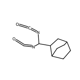 O=C=NC(N=C=O)C1CC2CCC1CC2